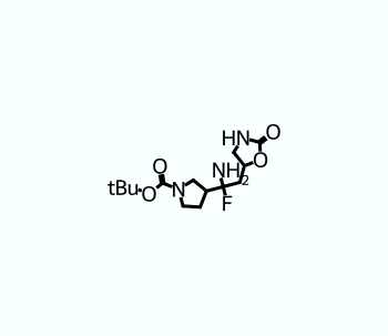 CC(C)(C)OC(=O)N1CCC(C(N)(F)CC2CNC(=O)O2)C1